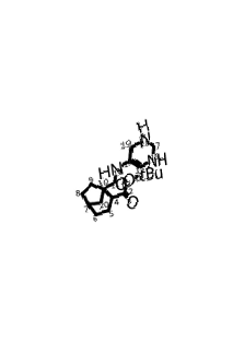 CC(C)(C)OC(=O)C1CCC2CCC1(C(=O)NC1=CNCNC1)C2